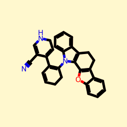 N#CC1=CNCC=C1C1=C(n2c3c(c4ccccc42)CCc2c-3oc3ccccc23)CCC=C1